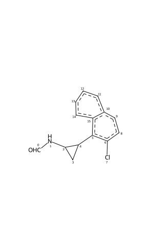 O=CNC1CC1c1c(Cl)ccc2ccccc12